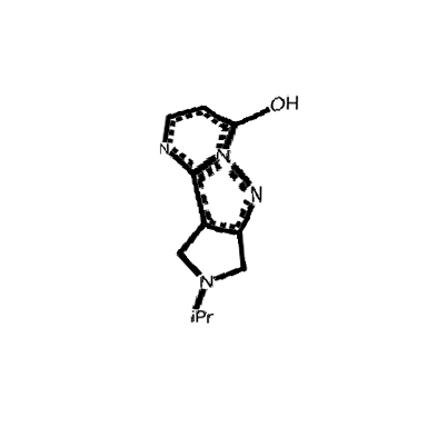 CC(C)N1Cc2nn3c(O)ccnc3c2C1